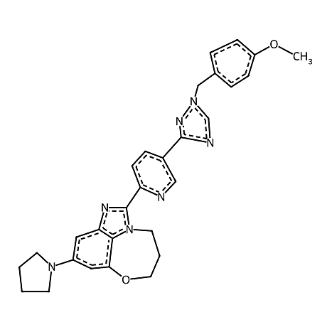 COc1ccc(Cn2cnc(-c3ccc(-c4nc5cc(N6CCCC6)cc6c5n4CCCO6)nc3)n2)cc1